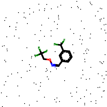 FC(F)c1cccc(/[C]=N\OCC(F)(F)F)c1